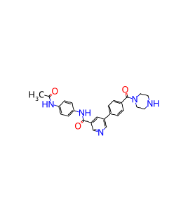 CC(=O)Nc1ccc(NC(=O)c2cncc(-c3ccc(C(=O)N4CCNCC4)cc3)c2)cc1